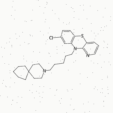 Clc1ccc2c(c1)N(CCCCCN1CCC3(CCCCC3)CC1)c1ncccc1S2